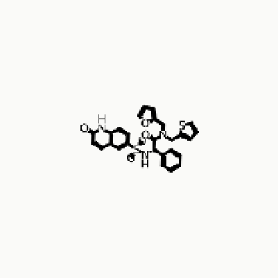 O=C([C@@H](NS(=O)(=O)c1ccc2[nH]c(=O)ccc2c1)c1ccccc1)N(Cc1ccco1)Cc1cccs1